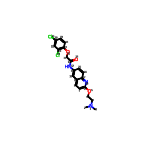 CN(C)CCOc1ccc2cc(NC(=O)COc3ccc(Cl)cc3Cl)ccc2n1